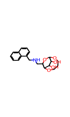 OC1C2OCCCOC(C(CNCc3cccc4ccccc34)O2)C1O